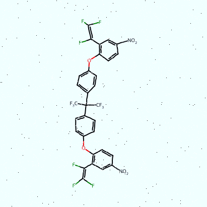 O=[N+]([O-])c1ccc(Oc2ccc(C(c3ccc(Oc4ccc([N+](=O)[O-])cc4C(F)=C(F)F)cc3)(C(F)(F)F)C(F)(F)F)cc2)c(C(F)=C(F)F)c1